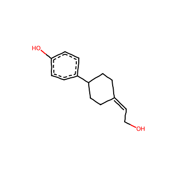 OCC=C1CCC(c2ccc(O)cc2)CC1